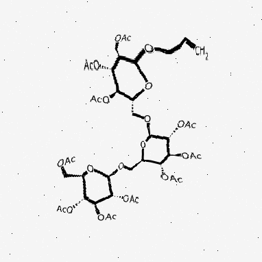 C=CCOC1O[C@H](CO[C@@H]2O[C@H](CO[C@@H]3O[C@H](COC(C)=O)[C@@H](OC(C)=O)[C@H](OC(C)=O)[C@H]3OC(C)=O)[C@@H](OC(C)=O)[C@H](OC(C)=O)[C@H]2OC(C)=O)[C@@H](OC(C)=O)[C@H](OC(C)=O)[C@H]1OC(C)=O